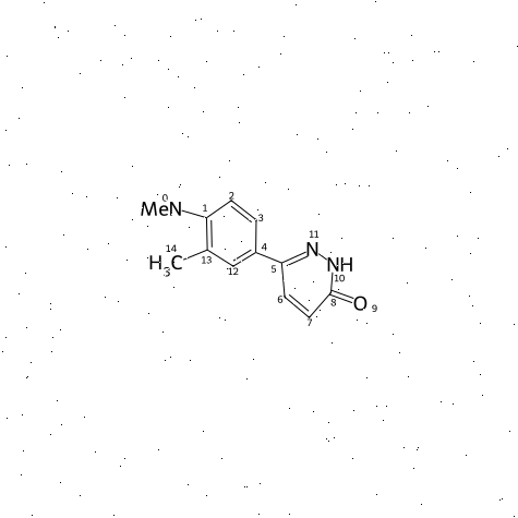 CNc1ccc(-c2ccc(=O)[nH]n2)cc1C